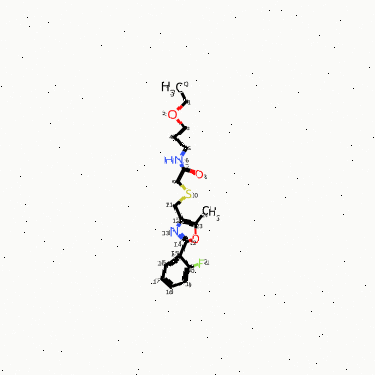 CCOCCCNC(=O)CSCc1nc(-c2ccccc2F)oc1C